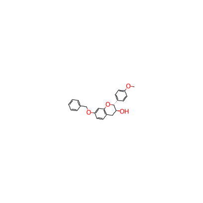 COc1ccc([C@H]2Oc3cc(OCc4ccccc4)ccc3C[C@@H]2O)cc1